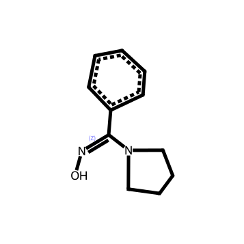 O/N=C(/c1ccccc1)N1CCCC1